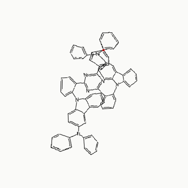 c1ccc(-c2nc(-c3ccccc3-n3c4ccccc4c4cc(N(c5ccccc5)c5ccccc5)ccc43)nc(-c3ccccc3-n3c4ccccc4c4cc(N(c5ccccc5)c5ccccc5)ccc43)n2)cc1